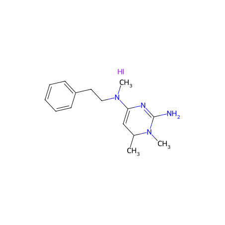 CC1C=C(N(C)CCc2ccccc2)N=C(N)N1C.I